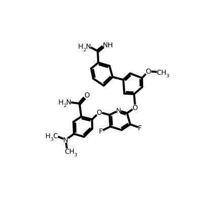 COc1cc(Oc2nc(Oc3ccc(N(C)C)cc3C(N)=O)c(F)cc2F)cc(-c2cccc(C(=N)N)c2)c1